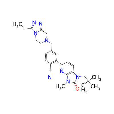 CCc1nnc2n1CCN(Cc1ccc(C#N)c(-c3ccc4c(n3)n(C)c(=O)n4CC(C)(C)C)c1)C2